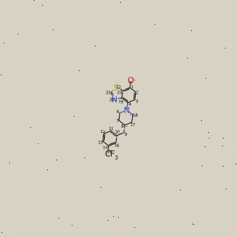 [O]c1ccc(N2CCC(Cc3cccc(C(F)(F)F)c3)CC2)c2ncsc12